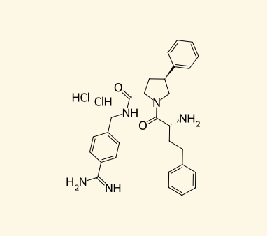 Cl.Cl.N=C(N)c1ccc(CNC(=O)[C@@H]2C[C@@H](c3ccccc3)CN2C(=O)[C@H](N)CCc2ccccc2)cc1